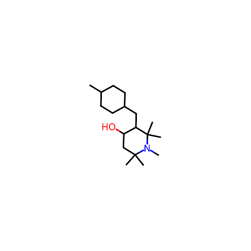 CC1CCC(CC2C(O)CC(C)(C)N(C)C2(C)C)CC1